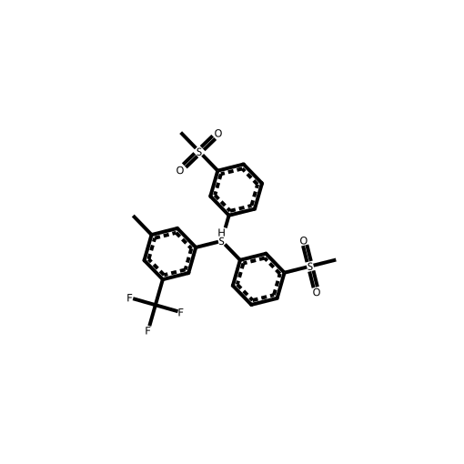 Cc1cc([SH](c2cccc(S(C)(=O)=O)c2)c2cccc(S(C)(=O)=O)c2)cc(C(F)(F)F)c1